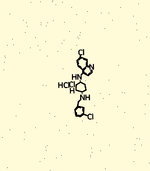 Cl.Cl.Clc1cccc(CN[C@H]2CC[C@@H](Nc3ccnc4cc(Cl)ccc34)CC2)c1